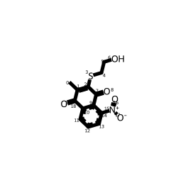 CC1=C(SCCO)C(=O)c2c(cccc2[N+](=O)[O-])C1=O